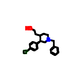 OCCC1CCN(Cc2ccccc2)C[C@H]1c1ccc(Cl)cc1